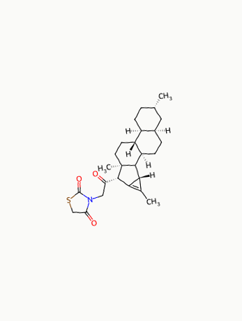 CC1=C2[C@@H]1C1[C@@H]3CC[C@@H]4C[C@@H](C)CC[C@@H]4[C@H]3CC[C@]1(C)[C@H]2C(=O)CN1C(=O)CSC1=O